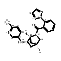 O=C(c1ccccc1-n1nccn1)N1C[C@H]2C[C@@H](Nc3ccc(C(F)(F)F)nc3)[C@@H]1C2